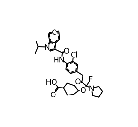 CC(C)n1cc(C(=O)Nc2ccc(CC(=O)C(F)(O[C@H]3CC[C@H](C(=O)O)CC3)N3CCCC3)cc2Cl)c2ccccc21